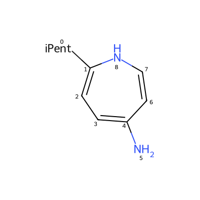 CCCC(C)C1=CC=C(N)C=CN1